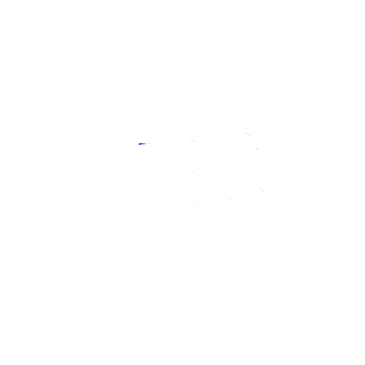 CN1CC[C@H](NCCO)c2ccc(C3(c4ccc5c(n4)N(C)CC[C@H]5NCCO)C=CC=C(c4ccccc4Cl)C3Cl)nc21